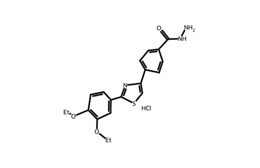 CCOc1ccc(-c2nc(-c3ccc(C(=O)NN)cc3)cs2)cc1OCC.Cl